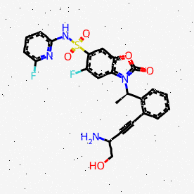 C[C@H](c1ccccc1C#CC(N)CO)n1c(=O)oc2cc(S(=O)(=O)Nc3cccc(F)n3)c(F)cc21